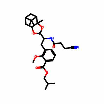 COc1c(CC(NC(=O)CCC#N)B2OC3CC4CC(C4(C)C)C3(C)O2)cccc1C(=O)OCC(C)C